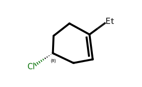 CCC1=CC[C@H](Cl)CC1